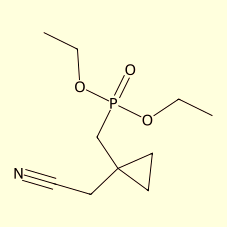 CCOP(=O)(CC1(CC#N)CC1)OCC